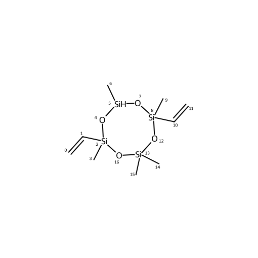 C=C[Si]1(C)O[SiH](C)O[Si](C)(C=C)O[Si](C)(C)O1